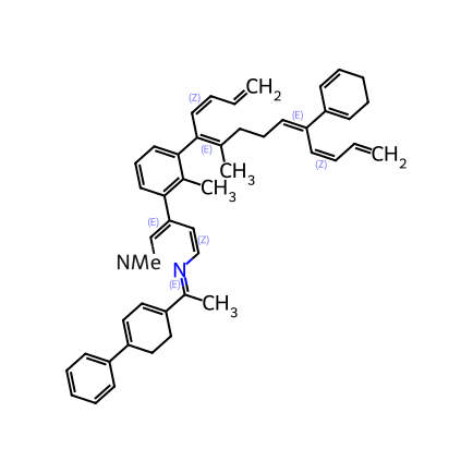 C=C/C=C\C(=C/CC/C(C)=C(\C=C/C=C)c1cccc(C(/C=C\N=C(/C)C2=CC=C(c3ccccc3)CC2)=C/NC)c1C)C1=CCCC=C1